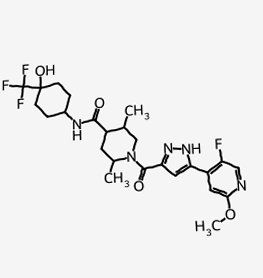 COc1cc(-c2cc(C(=O)N3CC(C)C(C(=O)NC4CCC(O)(C(F)(F)F)CC4)CC3C)n[nH]2)c(F)cn1